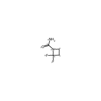 NC(=O)N1CCC1(F)F